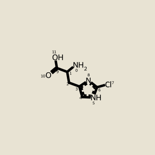 NC(Cc1c[nH]c(Cl)n1)C(=O)O